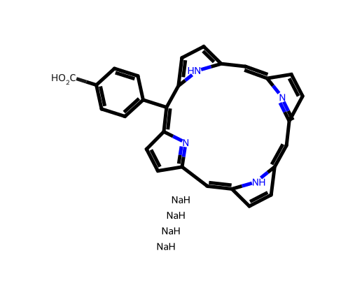 O=C(O)c1ccc(-c2c3nc(cc4ccc(cc5nc(cc6ccc2[nH]6)C=C5)[nH]4)C=C3)cc1.[NaH].[NaH].[NaH].[NaH]